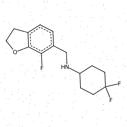 Fc1c(CNC2CCC(F)(F)CC2)ccc2c1OCC2